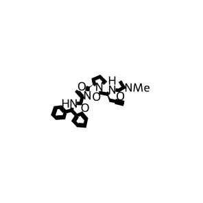 C#CC[C@H](NC(=O)[C@H](C)NC)C(=O)N1CCC[C@H]1c1nc(C(=O)NC(c2ccccc2)c2ccccc2)co1